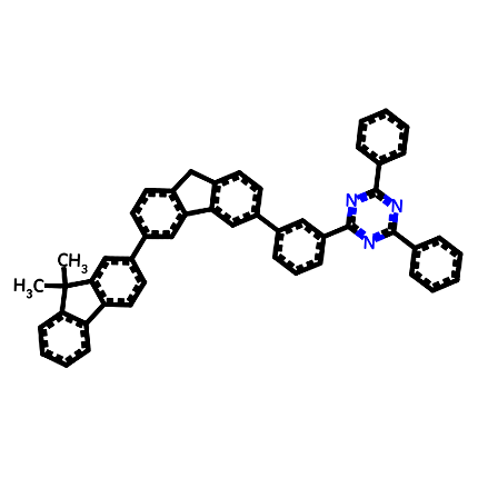 CC1(C)c2ccccc2-c2ccc(-c3ccc4c(c3)-c3cc(-c5cccc(-c6nc(-c7ccccc7)nc(-c7ccccc7)n6)c5)ccc3C4)cc21